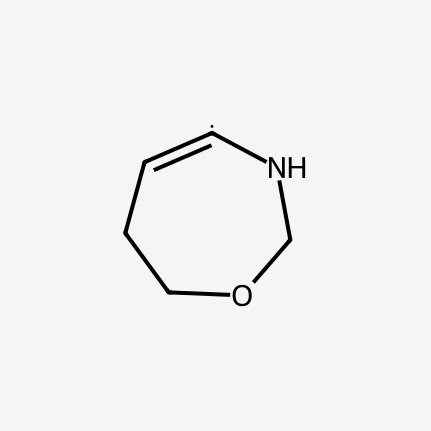 [C]1=CCCOCN1